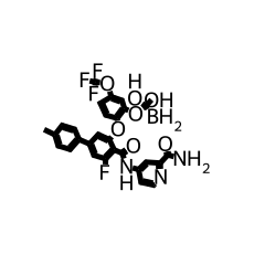 BC(O)(O)Oc1cc(OC(F)(F)F)ccc1Oc1cc(-c2ccc(C)cc2)cc(F)c1C(=O)Nc1ccnc(C(N)=O)c1